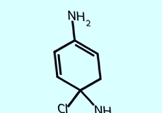 NC1=CCC(N)(Cl)C=C1